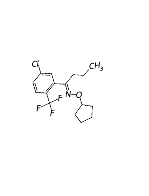 CCC/C(=N\OC1CCCC1)c1cc(Cl)ccc1C(F)(F)F